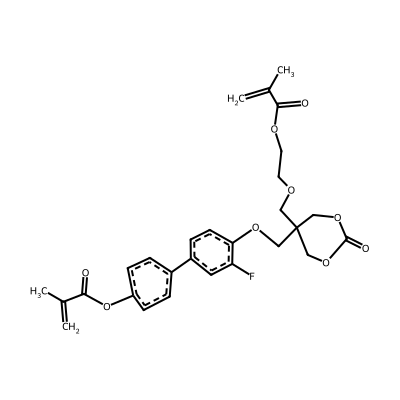 C=C(C)C(=O)OCCOCC1(COc2ccc(-c3ccc(OC(=O)C(=C)C)cc3)cc2F)COC(=O)OC1